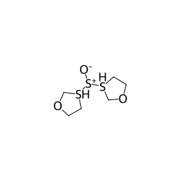 [O-][S+]([SH]1CCOC1)[SH]1CCOC1